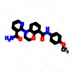 NC(=O)c1cccnc1N1CCOc2c(C(=O)Nc3ccc(OC(F)(F)F)cc3)cccc21